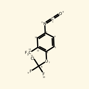 O=C=Nc1ccc(OC(F)(F)Cl)c(C(F)(F)F)c1